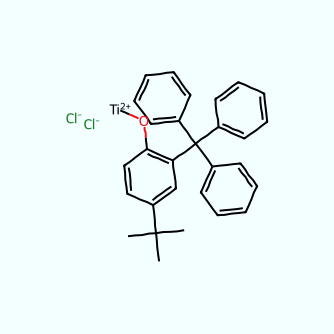 CC(C)(C)c1ccc([O][Ti+2])c(C(c2ccccc2)(c2ccccc2)c2ccccc2)c1.[Cl-].[Cl-]